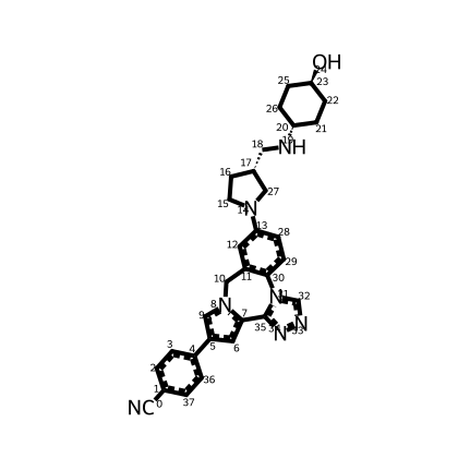 N#Cc1ccc(-c2cc3n(c2)Cc2cc(N4CC[C@H](CN[C@H]5CC[C@H](O)CC5)C4)ccc2-n2cnnc2-3)cc1